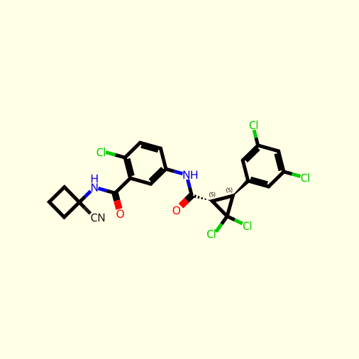 N#CC1(NC(=O)c2cc(NC(=O)[C@@H]3[C@@H](c4cc(Cl)cc(Cl)c4)C3(Cl)Cl)ccc2Cl)CCC1